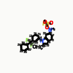 CN(O[SH](=O)=O)c1ccc2cc([C]=O)n(-c3cccc(C(F)(F)c4ccccc4)c3)c2c1